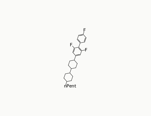 CCCCCC1CCC(C2CCC(c3cc(F)c(-c4ccc(F)cc4)c(F)c3)CC2)CC1